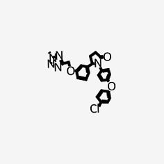 Cn1nnc(COc2cccc(C3CCC(=O)N3c3ccc(Oc4ccc(Cl)cc4)cc3)c2)n1